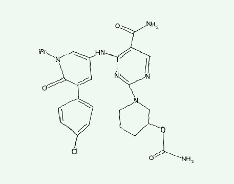 CC(C)n1cc(Nc2nc(N3CCCC(OC(N)=O)C3)ncc2C(N)=O)cc(-c2ccc(Cl)cc2)c1=O